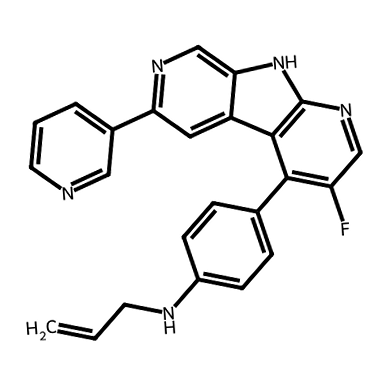 C=CCNc1ccc(-c2c(F)cnc3[nH]c4cnc(-c5cccnc5)cc4c23)cc1